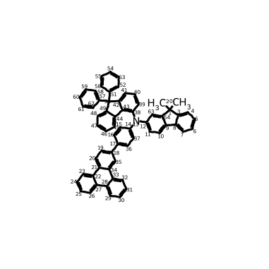 CC1(C)c2ccccc2-c2ccc(N(c3ccc(-c4ccc5c6ccccc6c6ccccc6c5c4)cc3)c3cccc4c3-c3ccccc3C4(c3ccccc3)c3ccccc3)cc21